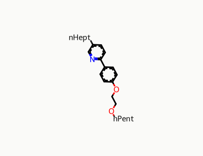 CCCCCCCc1ccc(-c2ccc(OCCOCCCCC)cc2)nc1